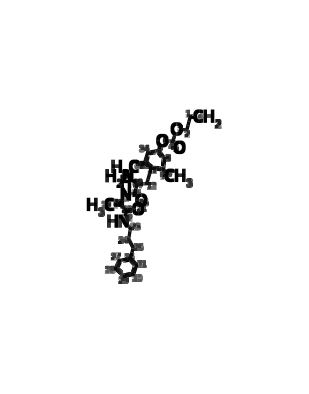 C=CCOC(=O)Oc1cc(C)c(C[C@H](N)C(=O)N[C@H](C)C(=O)NCCCc2ccccc2)c(C)c1